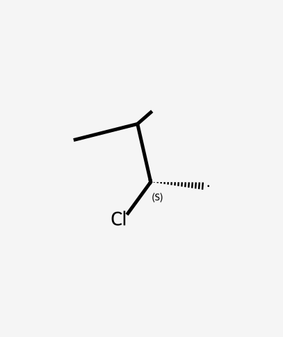 [CH2][C@H](Cl)C(C)C